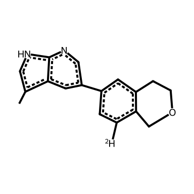 [2H]c1cc(-c2cnc3[nH]cc(C)c3c2)cc2c1COCC2